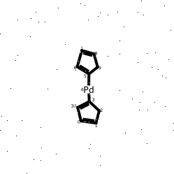 C1=CC[C]([Pd][C]2=CC=CC2)=C1